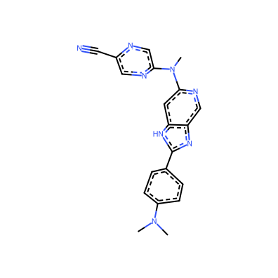 CN(C)c1ccc(-c2nc3cnc(N(C)c4cnc(C#N)cn4)cc3[nH]2)cc1